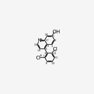 Oc1ccc2c(-c3c(Cl)cccc3Cl)ccnc2c1